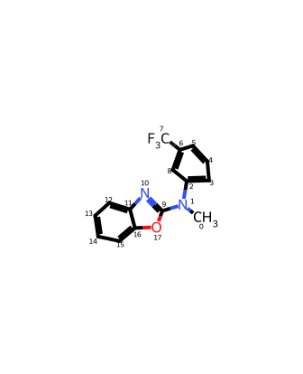 CN(c1cccc(C(F)(F)F)c1)c1nc2ccccc2o1